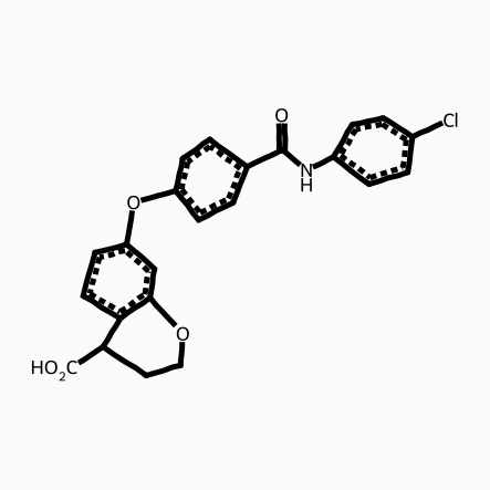 O=C(Nc1ccc(Cl)cc1)c1ccc(Oc2ccc3c(c2)OCCC3C(=O)O)cc1